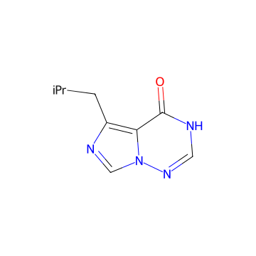 CC(C)Cc1ncn2nc[nH]c(=O)c12